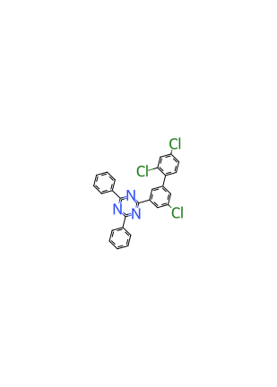 Clc1cc(-c2nc(-c3ccccc3)nc(-c3ccccc3)n2)cc(-c2ccc(Cl)cc2Cl)c1